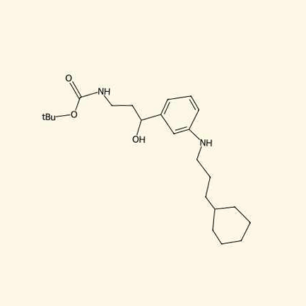 CC(C)(C)OC(=O)NCCC(O)c1cccc(NCCCC2CCCCC2)c1